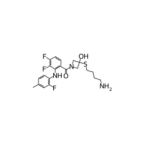 Cc1ccc(Nc2c(C(=O)N3CC(O)(SCCCCN)C3)ccc(F)c2F)c(F)c1